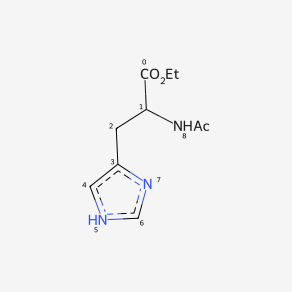 CCOC(=O)C(Cc1c[nH]cn1)NC(C)=O